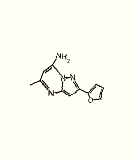 Cc1cc(N)n2nc(-c3ccco3)cc2n1